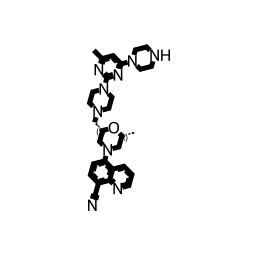 Cc1cc(N2CCNCC2)nc(N2CCN(C[C@H]3CN(c4ccc(C#N)c5ncccc45)C[C@@H](C)O3)CC2)n1